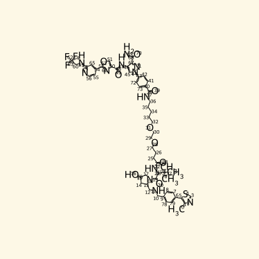 Cc1ncsc1-c1ccc(CNCC2C[C@@H](O)CN2C(=O)[C@@H](NC(=O)CCCOCCOCCCCCNC(=O)c2ccc(-n3cc(NC(=O)c4coc(-c5ccnc(NCC(F)(F)F)c5)n4)c(C(N)=O)n3)cc2)C(C)(C)C)cc1